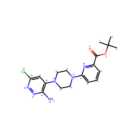 CC(C)(C)OC(=O)c1cccc(N2CCN(c3cc(Cl)nnc3N)CC2)n1